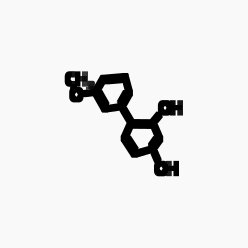 COc1cccc(-c2ccc(O)cc2O)c1